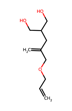 C=CCOCC(=C)CC(CO)CO